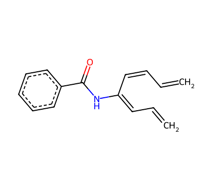 C=C/C=C\C(=C/C=C)NC(=O)c1ccccc1